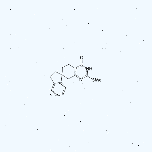 CSc1nc2c(c(=O)[nH]1)CCC1(CCc3ccccc31)C2